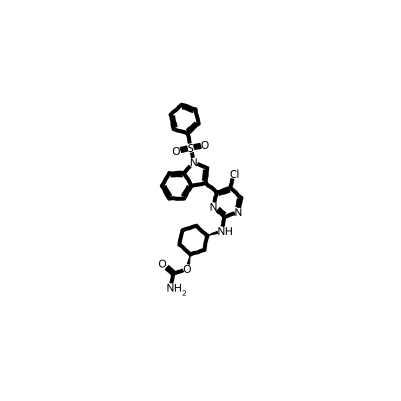 NC(=O)O[C@H]1CCC[C@@H](Nc2ncc(Cl)c(-c3cn(S(=O)(=O)c4ccccc4)c4ccccc34)n2)C1